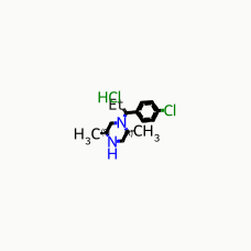 CCC(c1ccc(Cl)cc1)N1C[C@H](C)NC[C@H]1C.Cl